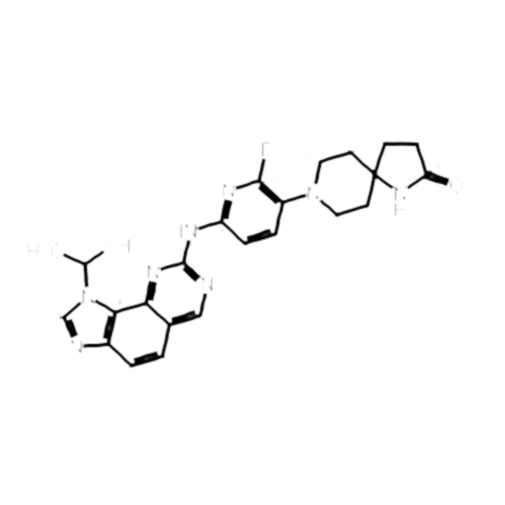 CC(C)n1cnc2ccc3cnc(Nc4ccc(N5CCC6(CCC(=O)N6)CC5)c(F)n4)nc3c21